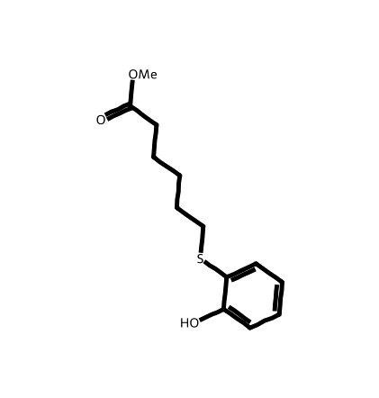 COC(=O)CCCCCSc1ccccc1O